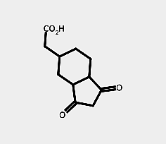 O=C(O)CC1CCC2C(=O)CC(=O)C2C1